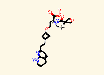 CC1(C(=O)N[C@@H](CCO[C@H]2C[C@H](CCc3ccc4c(n3)NCCC4)C2)C(=O)O)COC1